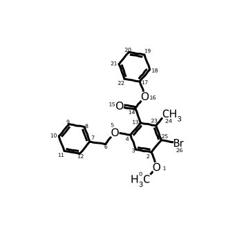 COc1cc(OCc2ccccc2)c(C(=O)Oc2ccccc2)c(C)c1Br